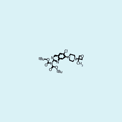 CC(C)(C)OC(=O)N(C(=O)OC(C)(C)C)c1ncc2cc(Cl)c(N3CCN(C4(C)COC4)CC3)cc2n1